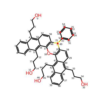 OCCCc1c2ccccc2c(CCCO)c2c(Oc3c(Sc4ccccc4)ccc4c(CCCO)c5ccccc5c(CCCO)c34)c(Sc3ccccc3)ccc12